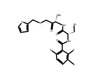 CCCC[C@H](NC(=O)[C@H](CC(C)C)NC(=O)c1c(F)ccc(F)c1F)C(=O)CSCc1ccco1